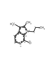 CCCn1c(C)c(C)c2ccnc(Cl)c21